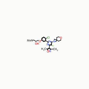 CNC[C@@H](O)COc1ccc(Cl)c(-c2nc(-c3c(C)noc3C)c(F)c(N3CC4(CCOCC4)C3)n2)c1